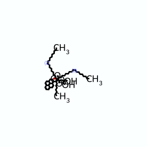 CCCCCCCC/C=C\CCCCCCCC(=O)C(C(=O)CCCCCCC/C=C\CCCCCCCC)(C(=O)OC(CO)CO)C(CCCCCCC)c1ccc2ccc3cccc4ccc1c2c34